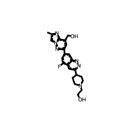 Cc1cn2nc(-c3cc(F)c4cc(C5CCN(CCO)CC5)nnc4c3)cc(CO)c2n1